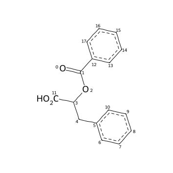 O=C(OC(Cc1ccccc1)C(=O)O)c1ccccc1